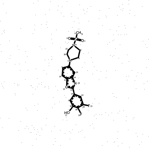 CS(=O)(=O)N1CCN(c2ccc3oc(-c4cc(O)c(F)c(F)c4)nc3c2)CC1